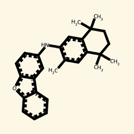 Cc1cc2c(cc1Nc1ccc3oc4ccccc4c3c1)C(C)(C)CCC2(C)C